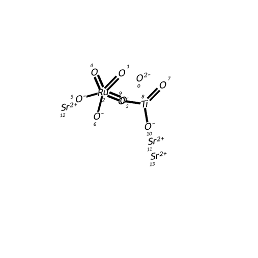 [O-2].[O]=[Ru](=[O])(=[O])([O-])[O-].[O]=[Ti]([O-])[O-].[Sr+2].[Sr+2].[Sr+2]